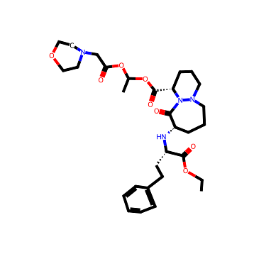 CCOC(=O)[C@H](CCc1ccccc1)N[C@H]1CCCN2CCC[C@@H](C(=O)OC(C)OC(=O)CN3CCOCC3)N2C1=O